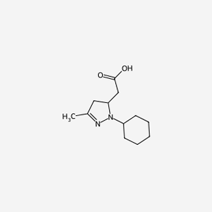 CC1=NN(C2CCCCC2)C(CC(=O)O)C1